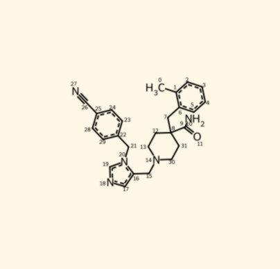 Cc1ccccc1CC1(C(N)=O)CCN(Cc2cncn2Cc2ccc(C#N)cc2)CC1